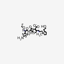 C[N+]1(C/C=C/C2=C(C(=O)[O-])N3C(=O)[C@@H](NC(=O)/C(=N\OCF)c4nsc(N)n4)[C@@H]3SC2)CCCC1CCO